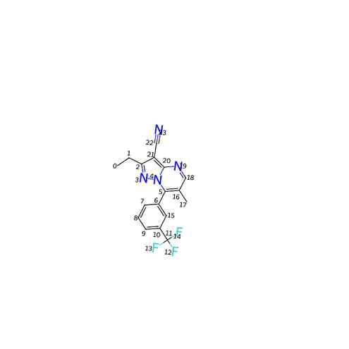 CCc1nn2c(-c3cccc(C(F)(F)F)c3)c(C)cnc2c1C#N